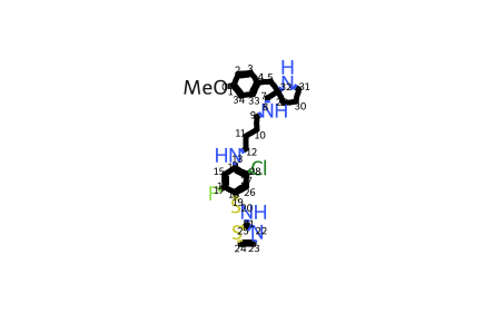 COc1ccc(CC2(CNCCCCNc3cc(F)c(SNc4nccs4)cc3Cl)CCCN2)cc1